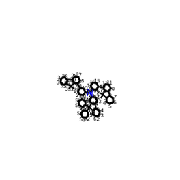 CC1(C)c2ccccc2-c2cccc(-c3cccc(N(c4cccc(-c5cccc6c5C(C)(C)c5ccccc5-6)c4)c4ccc5c(c4)C(c4ccccc4)(c4ccccc4)c4ccccc4-5)c3)c21